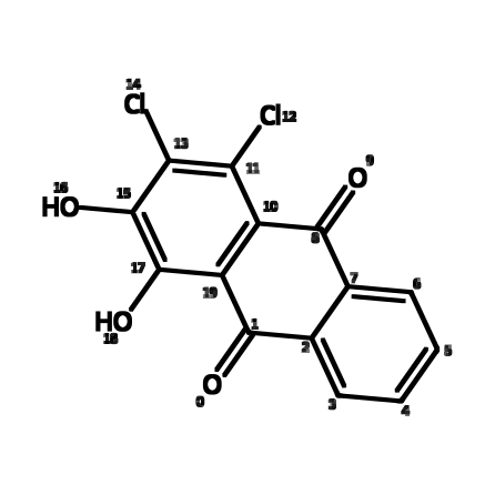 O=C1c2ccccc2C(=O)c2c(Cl)c(Cl)c(O)c(O)c21